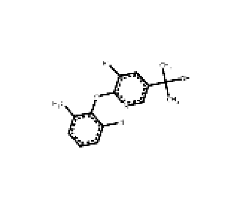 Cc1cccc(Cl)c1Oc1ncc(C(C)(C)O)cc1Br